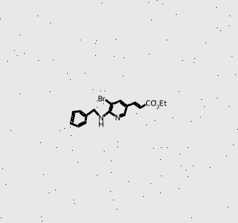 CCOC(=O)C=Cc1cnc(NCc2ccccc2)c(Br)c1